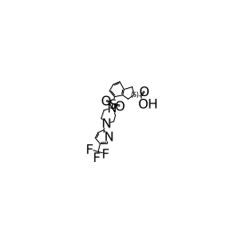 O=C(O)[C@H]1Cc2cccc(S(=O)(=O)N3CCN(c4ccc(C(F)(F)F)cn4)CC3)c2C1